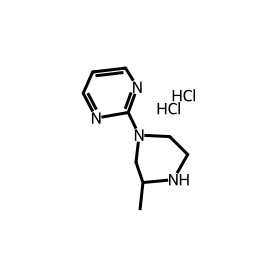 CC1CN(c2ncccn2)CCN1.Cl.Cl